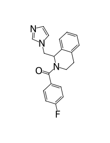 O=C(c1ccc(F)cc1)N1CCc2ccccc2C1Cn1ccnc1